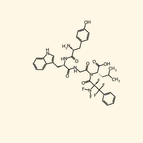 CC(C)C[C@@H](C(=O)O)N(C(=O)CNC(=O)[C@@H](Cc1c[nH]c2ccccc12)NC(=O)[C@@H](N)Cc1ccc(O)cc1)C(=O)[C@@](F)(N(F)F)C(F)(F)c1ccccc1